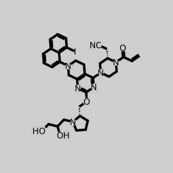 C=CC(=O)N1CCN(c2nc(OC[C@@H]3CCCN3CC(O)CO)nc3c2CCN(c2cccc4cccc(I)c24)C3)C[C@@H]1CC#N